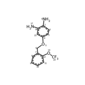 Nc1ccc(OCc2ccccc2OC(F)(F)F)cc1N